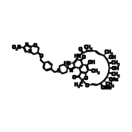 CO[C@H]1/C=C/O[C@@]2(C)Oc3c(C)c(O)c4c(c3C2=O)C2=NC3(CCN(Cc5ccc(CO[C@@H]6COc7nc([N+](=O)[O-])cn7C6)cc5)CC3)NC2=C(NC(=O)/C(C)=C\C=C\[C@H](C)[C@H](O)[C@@H](C)[C@@H](O)[C@@H](C)[C@H](OC(C)=O)[C@@H]1C)C4=O